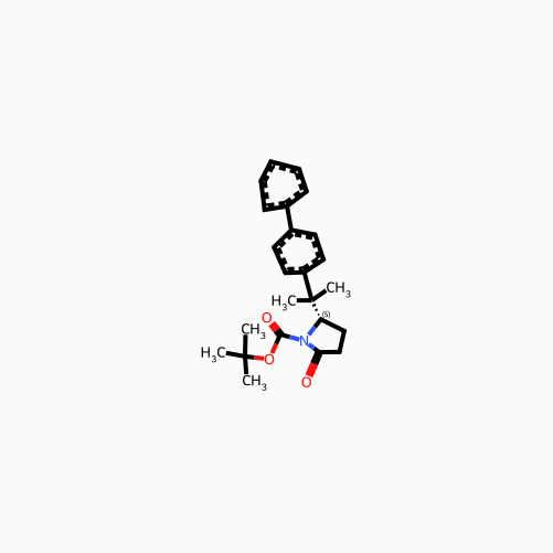 CC(C)(C)OC(=O)N1C(=O)CC[C@H]1C(C)(C)c1ccc(-c2ccccc2)cc1